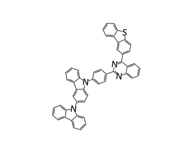 c1ccc2c(-c3ccc4sc5ccccc5c4c3)nc(-c3ccc(-n4c5ccccc5c5cc(-n6c7ccccc7c7ccccc76)ccc54)cc3)nc2c1